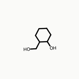 OCC1CCCC[C]1O